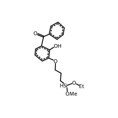 CCO[SiH](CCCOc1cccc(C(=O)c2ccccc2)c1O)OC